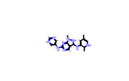 CC1=CNC(C)C(NC2NN(C)c3nc(Nc4cncnc4)ncc32)=C1